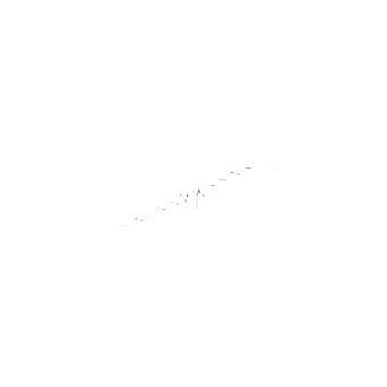 CCCCCCCCCCCCCCCCCCNSSNCCCCCCCCCCCCCCCCCC